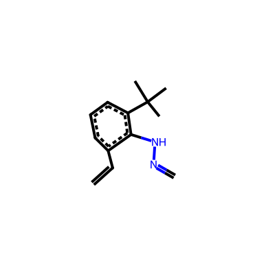 C=Cc1cccc(C(C)(C)C)c1NN=C